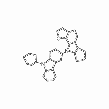 c1ccc(-n2c3ccccc3c3cc(-n4c5ccccc5c5ccc6ccoc6c54)ccc32)cc1